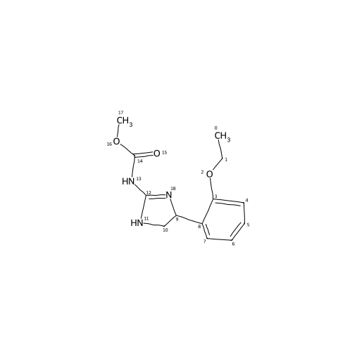 CCOc1ccccc1C1CNC(NC(=O)OC)=N1